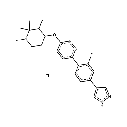 CC1C(Oc2ccc(-c3ccc(-c4cn[nH]c4)cc3F)nn2)CCN(C)C1(C)C.Cl